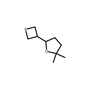 CC1(C)CCC(C2CSC2)O1